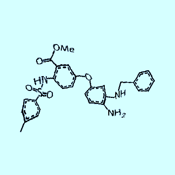 COC(=O)c1cc(Oc2ccc(N)c(NCc3ccccc3)c2)ccc1NS(=O)(=O)c1ccc(C)cc1